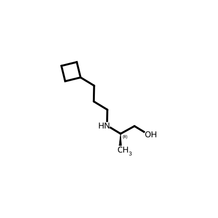 C[C@H](CO)NCCCC1CCC1